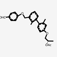 CC(=O)O[C@@H](C)COc1ccc(-c2cccc(COc3ccc(C=O)cc3)c2C)c(C)c1